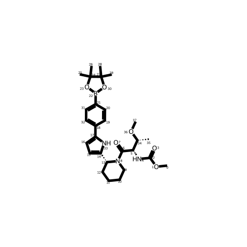 COC(=O)N[C@H](C(=O)N1CCCC[C@@H]1c1ccc(-c2ccc(B3OC(C)(C)C(C)(C)O3)cc2)[nH]1)[C@@H](C)OC